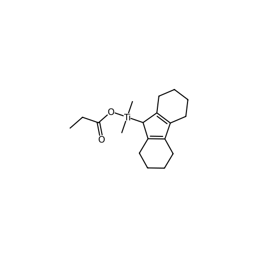 CCC(=O)[O][Ti]([CH3])([CH3])[CH]1C2=C(CCCC2)C2=C1CCCC2